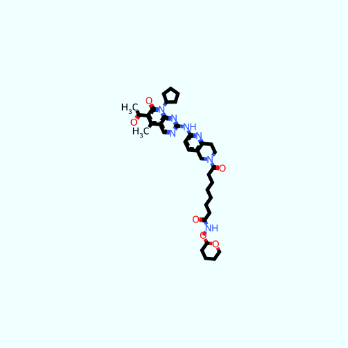 CC(=O)c1c(C)c2cnc(Nc3ccc4c(n3)CCN(C(=O)CCCCCCC(=O)NOC3CCCCO3)C4)nc2n(C2CCCC2)c1=O